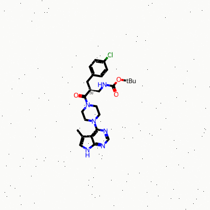 Cc1c[nH]c2ncnc(N3CCN(C(=O)[C@H](CNC(=O)OC(C)(C)C)Cc4ccc(Cl)cc4)CC3)c12